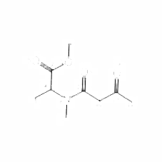 COC(=O)C(C)N(C)C(=O)CC(C)=O